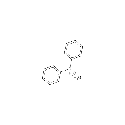 O.O.c1ccc(Oc2ccccc2)cc1